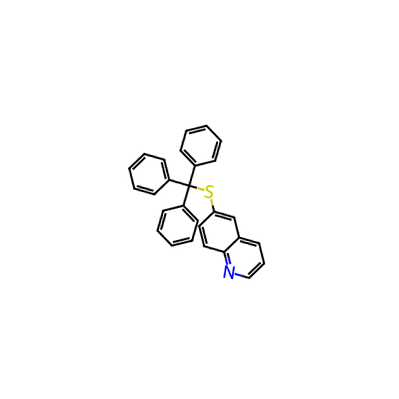 c1ccc(C(Sc2ccc3ncccc3c2)(c2ccccc2)c2ccccc2)cc1